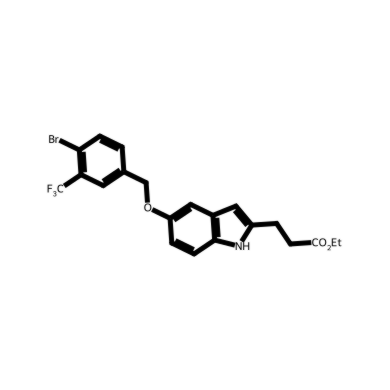 CCOC(=O)CCc1cc2cc(OCc3ccc(Br)c(C(F)(F)F)c3)ccc2[nH]1